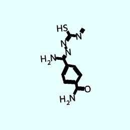 C=N/C(S)=N\N=C(/N)c1ccc(C(N)=O)cc1